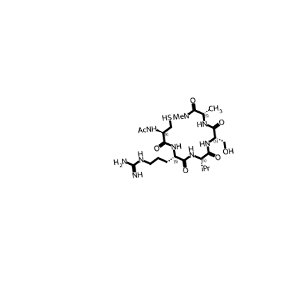 CNC(=O)[C@H](C)NC(=O)[C@H](CO)NC(=O)[C@@H](NC(=O)[C@H](CCCNC(=N)N)NC(=O)[C@H](CS)NC(C)=O)C(C)C